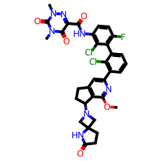 COc1nc(-c2cccc(-c3c(F)ccc(NC(=O)c4nn(C)c(=O)n(C)c4=O)c3Cl)c2Cl)cc2c1C(N1CC3(CCC(=O)N3)C1)CC2